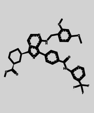 COC(=O)[C@@H]1CCC[C@@H](c2nc(-c3ccc(C(=O)Nc4cc(C(F)(F)F)ccn4)cc3)c3c(NCc4ccc(OC)cc4OC)nccn23)C1